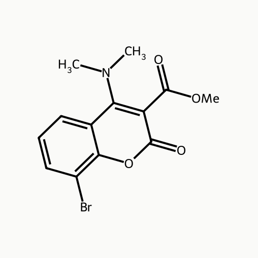 COC(=O)c1c(N(C)C)c2cccc(Br)c2oc1=O